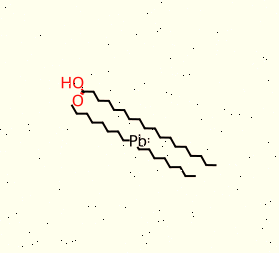 CCCCCCCCCCCCCCCCCC(=O)O.CCCCCCC[CH2][Pb][CH2]CCCCCCC